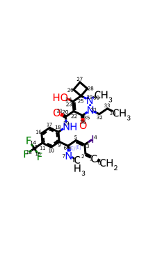 C=C=C/C(I)=C\C(=N/C)c1cc(C(F)(F)F)ccc1NC(=O)C1=C(O)C2(CCC2)N(C)N(CCC)C1=O